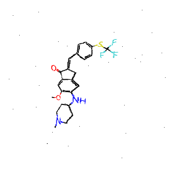 COc1cc2c(cc1NC1CCN(C)CC1)C/C(=C\c1ccc(SC(F)(F)F)cc1)C2=O